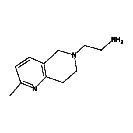 Cc1ccc2c(n1)CCN(CCN)C2